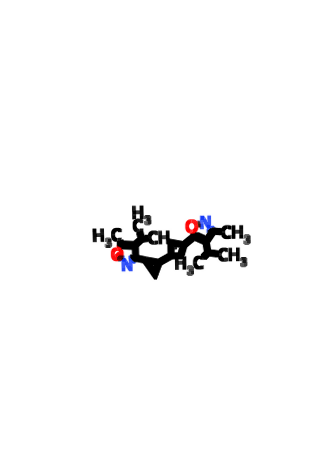 Cc1noc(C2CC(C3CC3c3noc(C)c3C(C)C)C2)c1C(C)C